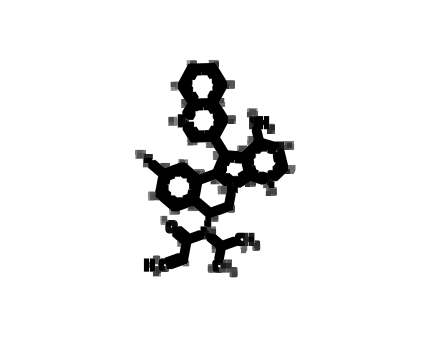 C=CC(=O)N(C(C)C)[C@H]1Cn2c(c(-c3cnc4ccccc4c3)c3c(N)ncnc32)-c2cc(F)ccc21